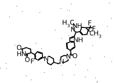 CN/N=C(\C1=CCC2(C)C(C1)C2(F)F)c1cc2ccc(C(=O)N3CCN(CC4CCN(c5ccc(C6CCC(=O)NC6=O)c(F)c5)CC4)CC3)cc2[nH]1